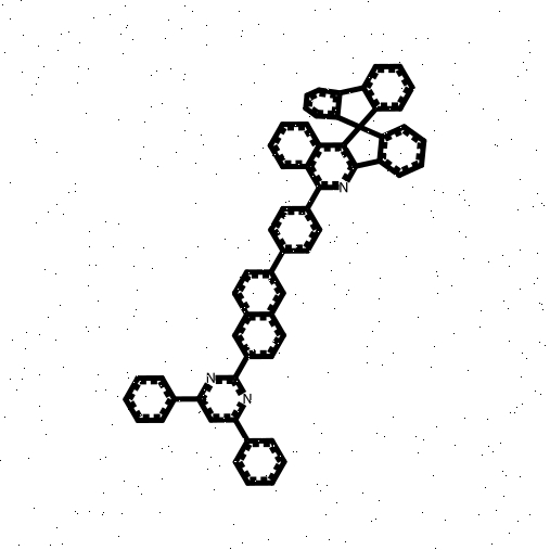 c1ccc(-c2cc(-c3ccccc3)nc(-c3ccc4cc(-c5ccc(-c6nc7c(c8ccccc68)C6(c8ccccc8-c8ccccc86)c6ccccc6-7)cc5)ccc4c3)n2)cc1